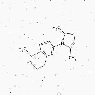 Cc1ccc(C)n1-c1ccc2c(c1)CCNC2C